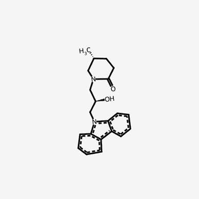 C[C@@H]1CCC(=O)N(C[C@@H](O)Cn2c3ccccc3c3ccccc32)C1